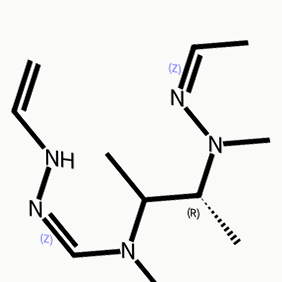 C=CN/N=C\N(C)C(C)[C@@H](C)N(C)/N=C\C